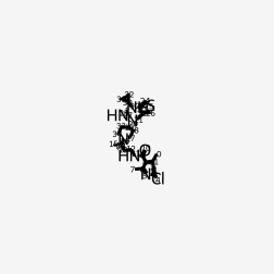 Cc1cc(Cl)nc(C)c1C(=O)NCC[C@@H](C)N1CCC(N(Cc2ccsc2)C(=N)NC2CC2)CC1